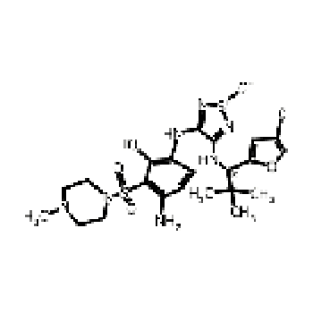 CN1CCN(S(=O)(=O)c2c(N)ccc(Nc3n[s+]([O-])nc3N[C@@H](c3cc(Cl)co3)C(C)(C)C)c2O)CC1